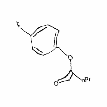 CCCC(=O)Oc1ccc(F)cc1